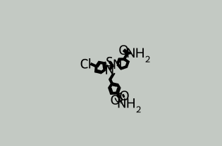 NC(=O)C1CCCN(C2Sc3cc(Cl)ccc3N2CCc2ccc(S(N)(=O)=O)cc2)C1